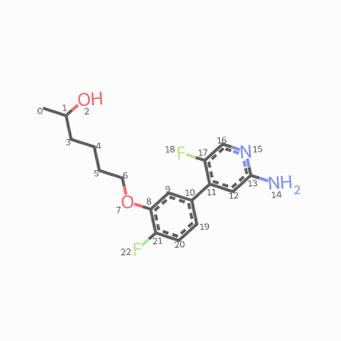 CC(O)CCCCOc1cc(-c2cc(N)ncc2F)ccc1F